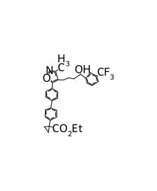 CCOC(=O)C1(c2ccc(-c3ccc(-c4onc(C)c4CCCC(O)c4cccc(C(F)(F)F)c4)cc3)cc2)CC1